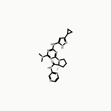 CN(C)c1nc(Nc2cc(C3CC3)n[nH]2)nc(N2CCC[C@@]2(C)C(=O)Nc2cnccn2)n1